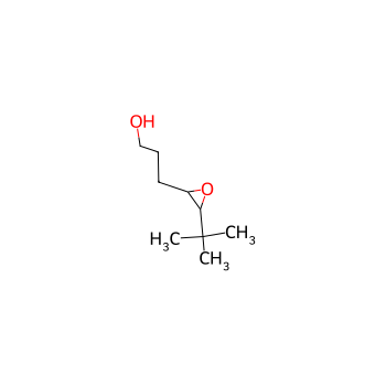 CC(C)(C)C1OC1CCCO